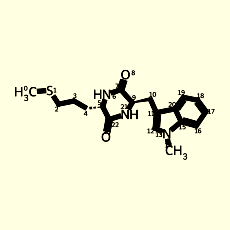 CSCCC[C@@H]1NC(=O)[C@@H](Cc2cn(C)c3ccccc23)NC1=O